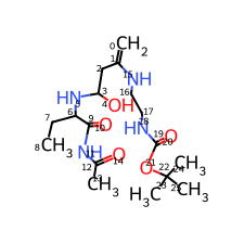 C=C(CC(O)NC(CC)C(=O)NC(C)=O)NCCNC(=O)OC(C)(C)C